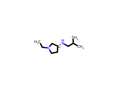 CCN1CC[C@@H](NCC(C)C)C1